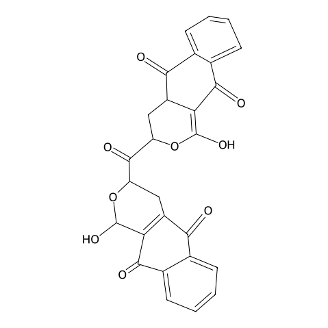 O=C1C2=C(C(=O)c3ccccc31)C(O)OC(C(=O)C1CC3C(=O)c4ccccc4C(=O)C3=C(O)O1)C2